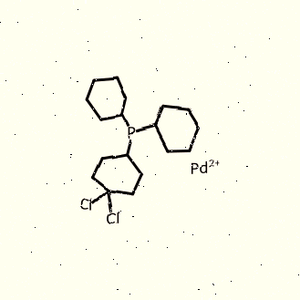 ClC1(Cl)CCC(P(C2CCCCC2)C2CCCCC2)CC1.[Pd+2]